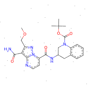 COCc1nn2c(C(=O)NC3Cc4ccccc4N(C(=O)OC(C)(C)C)C3)ccnc2c1C(N)=O